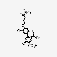 CCN(CC)C(=O)CCCOc1cc2c(cc1Cl)-c1cc(=O)c(C(=O)O)cn1C(C(C)C)CO2